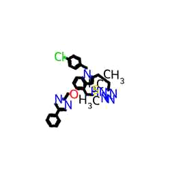 CC1Cc2c(OCc3ncc(-c4ccccc4)cn3)ccc3c2c(c(CC(C)(C)Cc2nnn[nH]2)n3Cc2ccc(Cl)cc2)S1